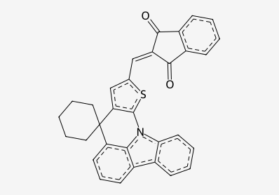 O=C1C(=Cc2cc3c(s2)-n2c4ccccc4c4cccc(c42)C32CCCCC2)C(=O)c2ccccc21